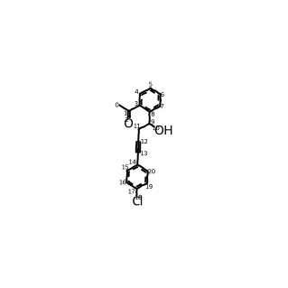 CC(=O)c1ccccc1C(O)CC#Cc1ccc(Cl)cc1